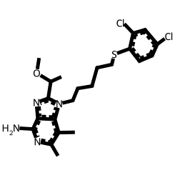 COC(C)c1nc2c(N)nc(C)c(C)c2n1CCCCCSc1ccc(Cl)cc1Cl